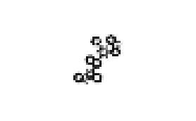 c1ccc(-c2nc(-c3ccc(-c4nc5c6ccccc6sc5c5ccccc45)c4ccccc34)nc(-c3cccc4oc5ccccc5c34)n2)cc1